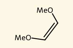 CO/C=C\OC